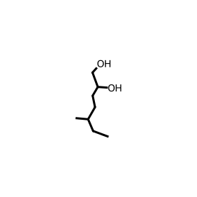 CCC(C)CCC(O)CO